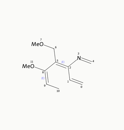 C=C/C(N=C)=C(COC)\C(=C/C)OC